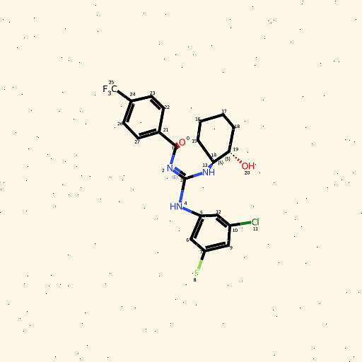 O=C(/N=C(/Nc1cc(F)cc(Cl)c1)N[C@H]1CCCC[C@@H]1O)c1ccc(C(F)(F)F)cc1